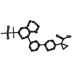 CC(C)(c1cc(-c2cccc(-c3ccc(C4(C(=O)O)CC4)cc3)c2)c2ncccc2c1)S(C)(=O)=O